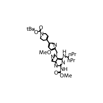 CCCC(CCC)Nc1nc(NC(=O)OC)nc2cnn(Cc3ncc(C4=CCN(C(=O)OC(C)(C)C)CC4)cc3OC)c12